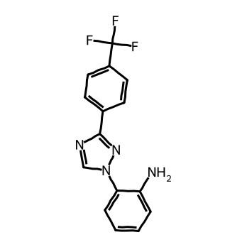 Nc1ccccc1-n1cnc(-c2ccc(C(F)(F)F)cc2)n1